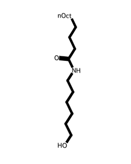 CCCCCCCCCCCC(=O)NCCCCCCO